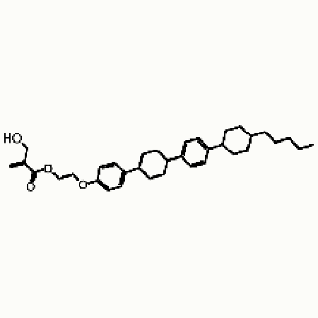 C=C(CO)C(=O)OCCOc1ccc(C2CCC(c3ccc(C4CCC(CCCCC)CC4)cc3)CC2)cc1